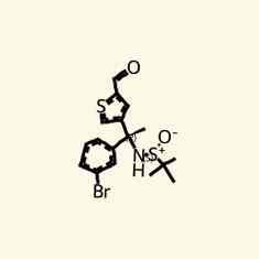 CC(C)(C)[S@@+]([O-])N[C@](C)(c1cccc(Br)c1)c1csc(C=O)c1